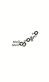 COc1cc2nccc(Oc3ccc(S(=O)(=O)CCOc4ccccc4F)cc3)c2cc1OC